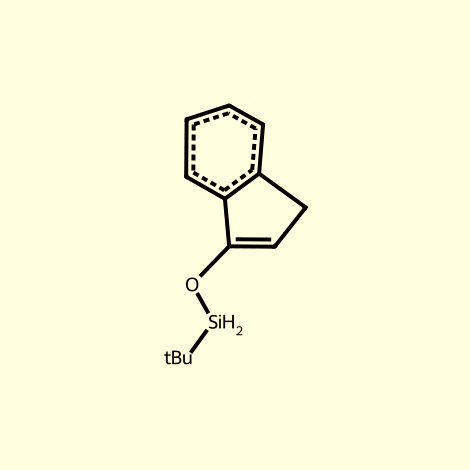 CC(C)(C)[SiH2]OC1=CCc2ccccc21